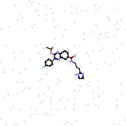 CC(C)Oc1nc2cc(F)c(C(=O)NCCCc3ncc[nH]3)cc2nc1-c1ccc(F)cc1